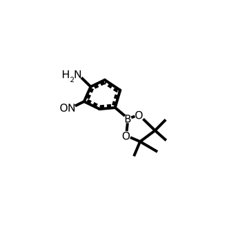 CC1(C)OB(c2ccc(N)c(N=O)c2)OC1(C)C